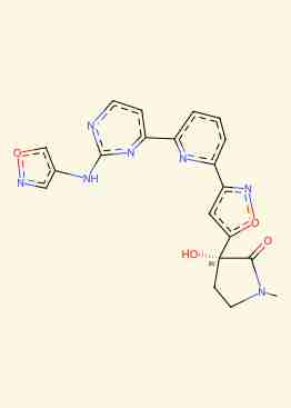 CN1CC[C@@](O)(c2cc(-c3cccc(-c4ccnc(Nc5cnoc5)n4)n3)no2)C1=O